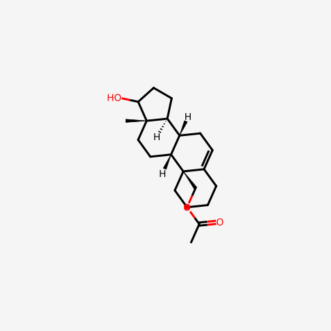 CC(=O)OC[C@]12CCCCC1=CC[C@@H]1[C@H]2CC[C@]2(C)C(O)CC[C@@H]12